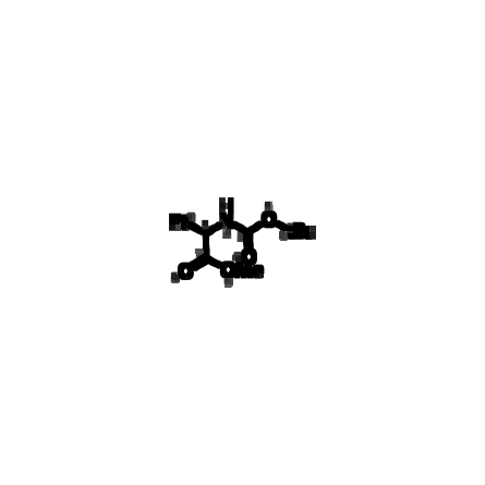 CC[C@@H](NC(=O)OC(C)(C)C)C(=O)OC